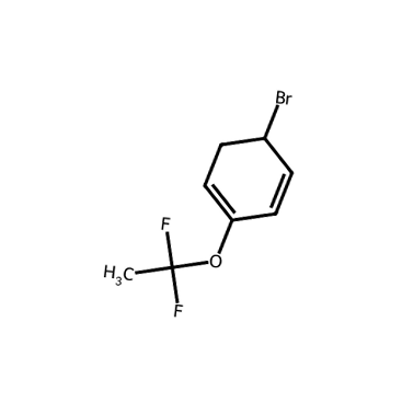 CC(F)(F)OC1=CCC(Br)C=C1